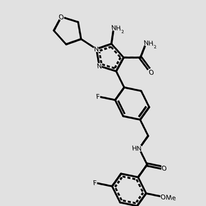 COc1ccc(F)cc1C(=O)NCC1=CCC(c2nn(C3CCOC3)c(N)c2C(N)=O)C(F)=C1